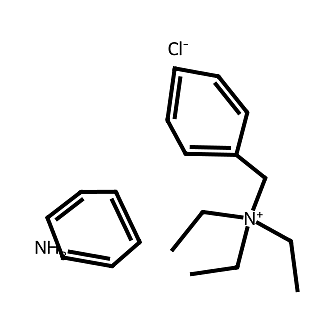 CC[N+](CC)(CC)Cc1ccccc1.N.[Cl-].c1ccccc1